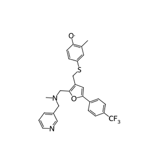 Cc1cc(SCc2cc(-c3ccc(C(F)(F)F)cc3)oc2CN(C)Cc2cccnc2)ccc1[O]